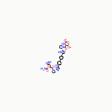 COC(=O)N[C@H](C(=O)N1CCC[C@H]1c1ncc(-c2ccc(-c3ccc(-c4cnc([C@@H]5CCCN5C(=O)[C@](C)(Cc5cncn5C)OC(N)=O)[nH]4)cc3)cc2)[nH]1)[C@@H](C)OC